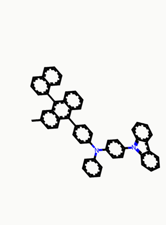 Cc1ccc2c(-c3ccc(N(c4ccccc4)c4ccc(-n5c6ccccc6c6ccccc65)cc4)cc3)c3ccccc3c(-c3cccc4ccccc34)c2c1